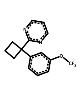 FC(F)(F)Oc1cccc(C2(c3ncccn3)CCC2)c1